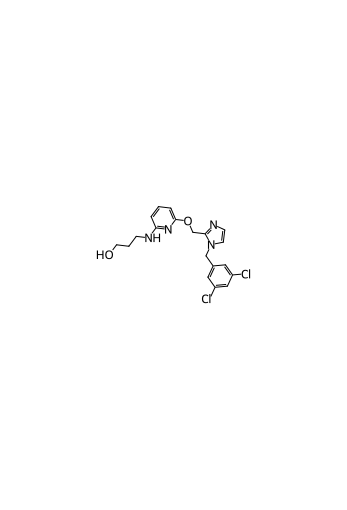 OCCCNc1cccc(OCc2nccn2Cc2cc(Cl)cc(Cl)c2)n1